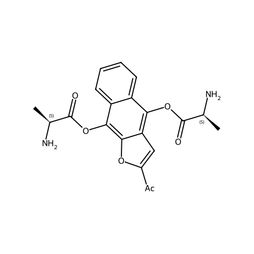 CC(=O)c1cc2c(OC(=O)[C@H](C)N)c3ccccc3c(OC(=O)[C@H](C)N)c2o1